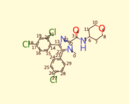 Cn1c(C(=O)NC2CCOCC2)nc(-c2ccc(Cl)cc2Cl)c1-c1ccc(Cl)cc1